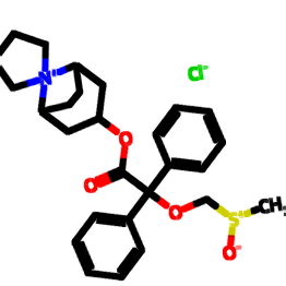 C[S+]([O-])COC(C(=O)OC1CC2CCC(C1)[N+]21CCCC1)(c1ccccc1)c1ccccc1.[Cl-]